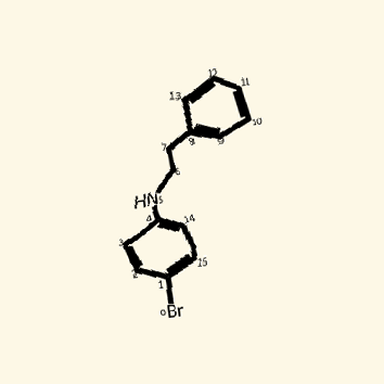 Brc1ccc(NCCc2ccccc2)cc1